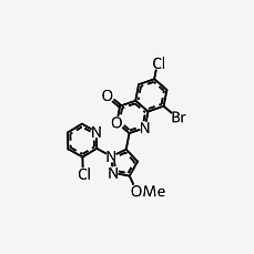 COc1cc(-c2nc3c(Br)cc(Cl)cc3c(=O)o2)n(-c2ncccc2Cl)n1